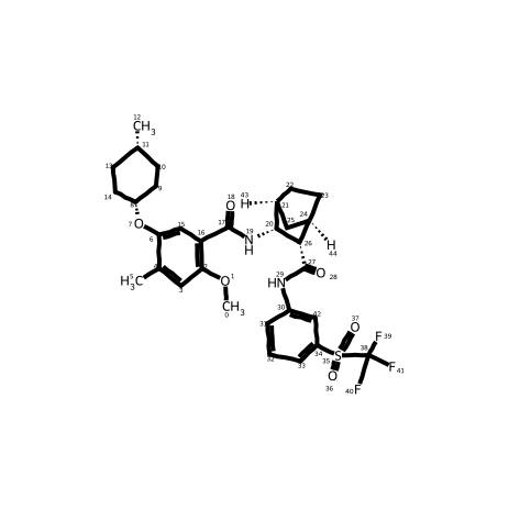 COc1cc(C)c(O[C@H]2CC[C@@H](C)CC2)cc1C(=O)N[C@@H]1[C@H]2CC[C@H](C2)[C@@H]1C(=O)Nc1cccc(S(=O)(=O)C(F)(F)F)c1